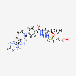 O=C(NC[C@H](NS(=O)(=O)CCCO)C(=O)O)c1ccc(N2CCC[C@H](NC3=NCCCN3)C2)cc1